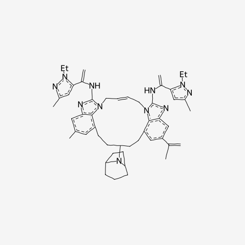 C=C(C)c1cc2c3c(c1)nc(NC(=C)c1cc(C)nn1CC)n3C/C=C/Cn1c(NC(=C)c3cc(C)nn3CC)nc3cc(C)cc(c31)CCC(N1C3CCCC1CC3)CC2